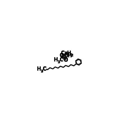 CCCCCCCCCCCCc1ccccc1.CS(=O)(=O)O.[CaH2]